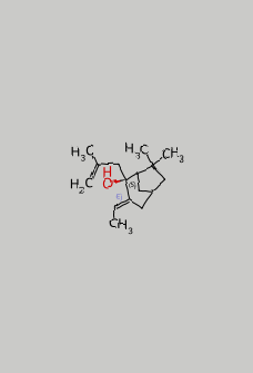 C=C(C)C[C@@]1(O)/C(=C/C)CC2CC1C(C)(C)C2